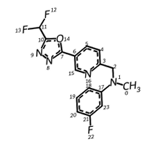 CN(Cc1ccc(-c2nnc(C(F)F)o2)cn1)c1cccc(F)c1